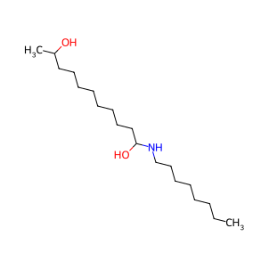 CCCCCCCCNC(O)CCCCCCCCC(C)O